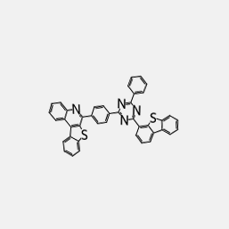 c1ccc(-c2nc(-c3ccc(-c4nc5ccccc5c5c4sc4ccccc45)cc3)nc(-c3cccc4c3sc3ccccc34)n2)cc1